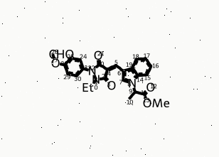 CCN1C(=O)C(=Cc2cn(C(C)C(=O)OC)c3ccccc23)C(=O)N1c1ccc(OC=O)cc1